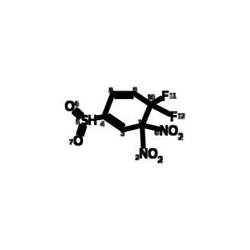 O=[N+]([O-])C1([N+](=O)[O-])C=C([SH](=O)=O)C=CC1(F)F